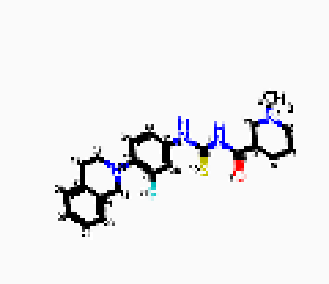 CN1CCCC(C(=O)NC(=S)Nc2ccc(N3CCc4ccccc4C3)c(F)c2)C1